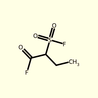 CCC(C(=O)F)S(=O)(=O)F